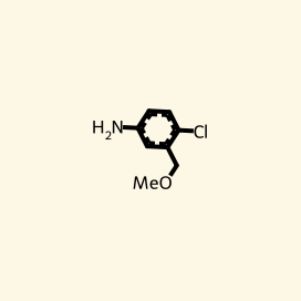 COCc1cc(N)ccc1Cl